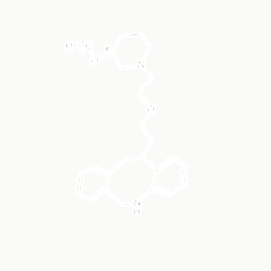 O=C(O)O[C@@H]1CCCN(CCOCCC2Cc3ccccc3CNc3ccccc32)C1